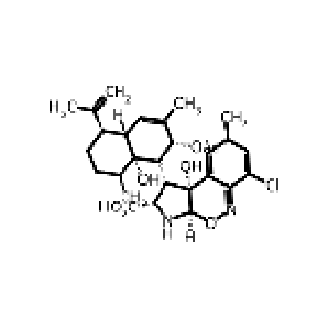 C=C(C)[C@@H]1CCC(C)[C@]2(O)C([C@H]3[C@@H](C(=O)O)N[C@@H]4ON=C5C(Cl)=C[C@H](C)C=C5[C@@]43O)[C@@H](OC(C)=O)C(C)=C[C@@H]12